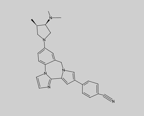 C[C@@H]1CN(c2ccc3c(c2)Cn2cc(-c4ccc(C#N)cc4)cc2-c2nccn2-3)C[C@@H]1N(C)C